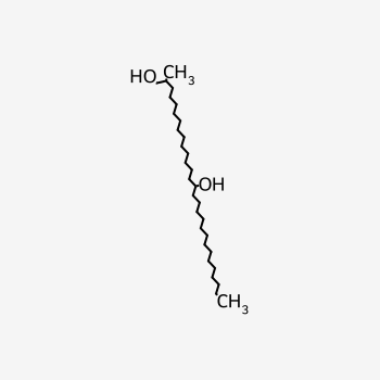 CCCCCCCCCCCCCCC(O)CCCCCCCCCCCCC(C)CO